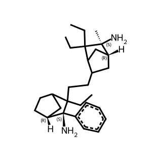 CCC1(CC)C2C[C@@H](CC2CCC2(CC)C3CC[C@H](C3)[C@@]2(N)c2ccccc2)[C@]1(C)N